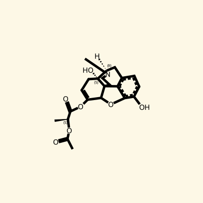 CC(=O)O[C@@H](C)C(=O)OC1=CC[C@@]2(O)[C@H]3Cc4ccc(O)c5c4C2(CCN3C)C1O5